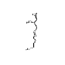 CCCCCOOCC(O)CC1CO1